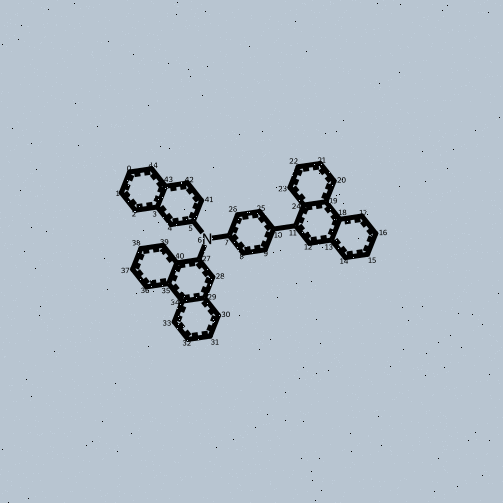 c1ccc2cc(N(c3ccc(-c4cc5ccccc5c5ccccc45)cc3)c3cc4ccccc4c4ccccc34)ccc2c1